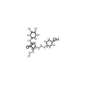 CCCn1c(CCCc2ccc(O)cc2)cn(Cc2ccc(C)c(C)c2)c1=O